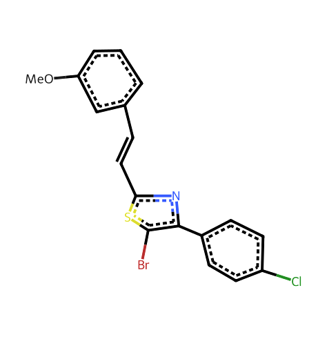 COc1cccc(C=Cc2nc(-c3ccc(Cl)cc3)c(Br)s2)c1